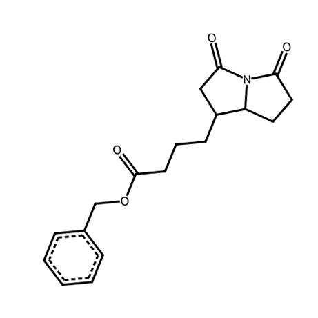 O=C(CCCC1CC(=O)N2C(=O)CCC12)OCc1ccccc1